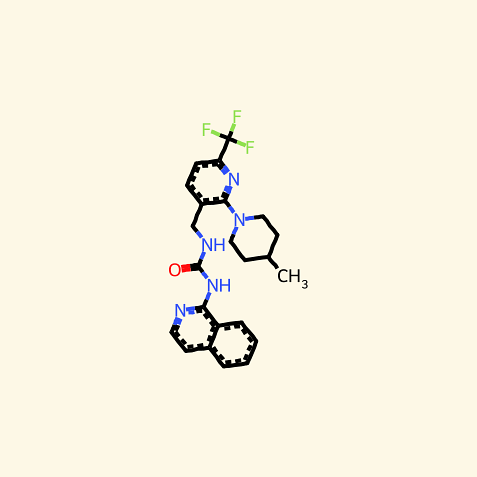 CC1CCN(c2nc(C(F)(F)F)ccc2CNC(=O)Nc2nccc3ccccc23)CC1